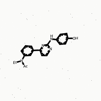 CCN(C(C)=O)c1cccc(-c2ccnc(Nc3ccc(O)cc3)n2)c1